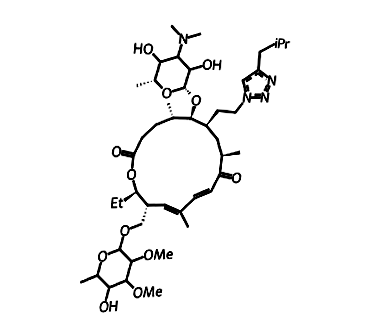 CC[C@H]1OC(=O)CC[C@H](C)[C@@H](O[C@@H]2O[C@H](C)C(O)C(N(C)C)C2O)[C@@H](CCn2cc(CC(C)C)nn2)C[C@@H](C)C(=O)/C=C/C(C)=C/[C@@H]1COC1OC(C)C(O)C(OC)C1OC